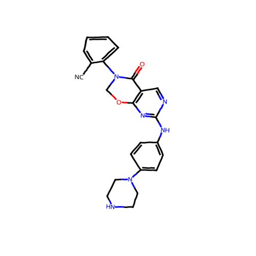 N#Cc1ccccc1N1COc2nc(Nc3ccc(N4CCNCC4)cc3)ncc2C1=O